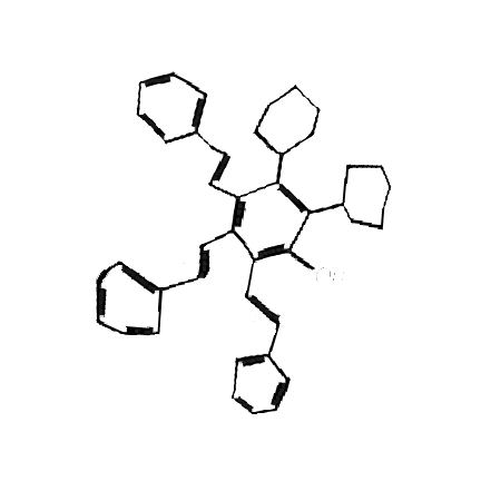 Oc1c(/C=C/c2ccccc2)c(/C=C/c2ccccc2)c(/C=C/c2ccccc2)c(C2CCCCC2)c1C1CCCCC1